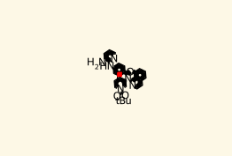 Cc1cccc2ccnc(N(C(=O)c3ccc(Nc4ncccc4N)cc3F)[C@@H]3CCCN(C(=O)OC(C)(C)C)C3)c12